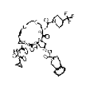 O=C1N[C@]2(C(=O)NS(=O)(=O)C3CC3)CC2C=CCCCCC[C@H](CC(=O)N2CCC(C(F)(F)F)CC2)C(=O)N2C[C@H](OC(=O)N3CCc4ccccc4C3)C[C@@H]12